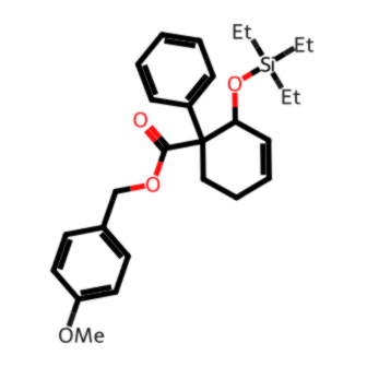 CC[Si](CC)(CC)OC1C=CCCC1(C(=O)OCc1ccc(OC)cc1)c1ccccc1